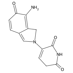 NC1=C2CN(C3=CCC(=O)NC3=O)C=C2C=CC1=O